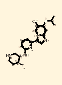 CC(C)Oc1cc2ncc(-c3cccc(N[C@H]4CNCC[C@@H]4F)n3)n2cc1Cl